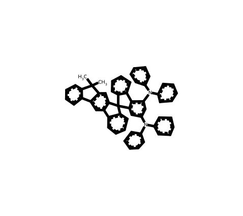 CC1(C)c2ccccc2-c2cc3c(cc21)C1(c2ccccc2-3)c2ccccc2-c2c(N(c3ccccc3)c3ccccc3)cc(N(c3ccccc3)c3ccccc3)cc21